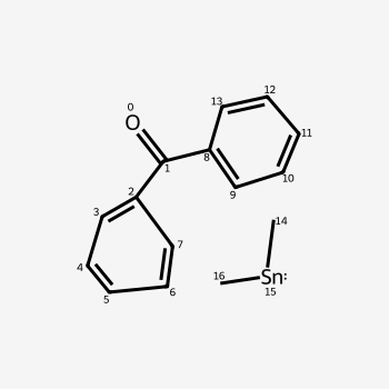 O=C(c1ccccc1)c1ccccc1.[CH3][Sn][CH3]